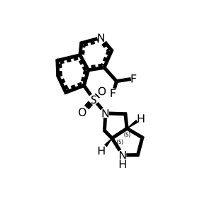 O=S(=O)(c1cccc2cncc(C(F)F)c12)N1C[C@@H]2CCN[C@@H]2C1